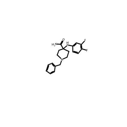 NC(=O)C1(Nc2ccc(F)c(F)c2)CCN(Cc2ccccc2)CC1